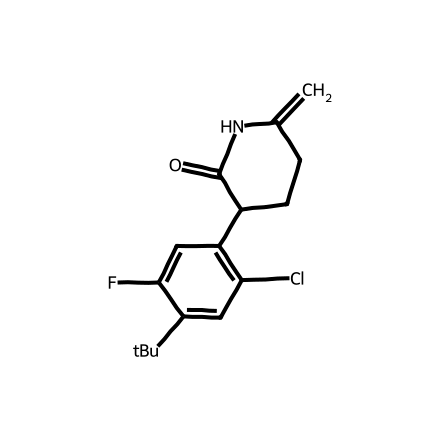 C=C1CCC(c2cc(F)c(C(C)(C)C)cc2Cl)C(=O)N1